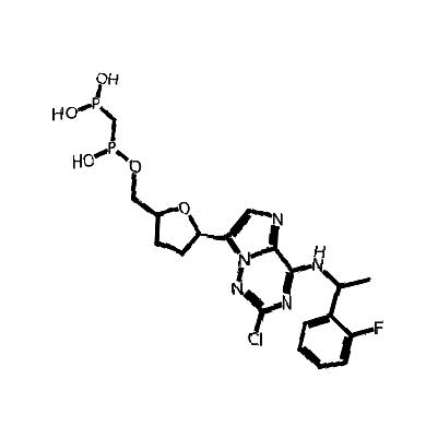 CC(Nc1nc(Cl)nn2c([C@H]3CCC(COP(O)CP(O)O)O3)cnc12)c1ccccc1F